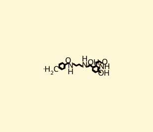 [CH2]c1ccc(C(=O)NCCCCNC[C@H](O)c2ccc(O)c3[nH]c(=O)ccc23)cc1